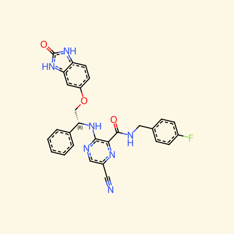 N#Cc1cnc(N[C@@H](COc2ccc3[nH]c(=O)[nH]c3c2)c2ccccc2)c(C(=O)NCc2ccc(F)cc2)n1